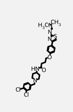 CN(C)C=Nc1nc(-c2ccc(OCCCC(=O)NC3CCN(Cc4ccc(Cl)c(Cl)c4)CC3)cc2)cs1